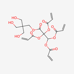 C=CC(=O)OC(OC(=O)C=C)C(OC(=O)C=C)(OC(=O)C=C)C(=O)OCC(CO)(CO)CO